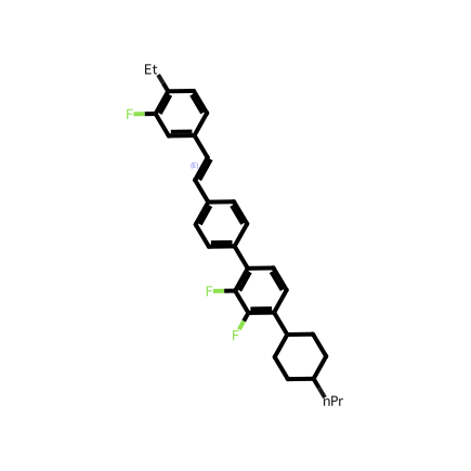 CCCC1CCC(c2ccc(-c3ccc(/C=C/c4ccc(CC)c(F)c4)cc3)c(F)c2F)CC1